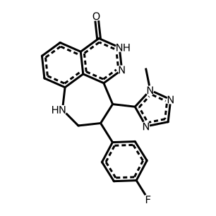 Cn1ncnc1C1c2n[nH]c(=O)c3cccc(c23)NCC1c1ccc(F)cc1